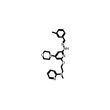 Cc1cccc(C=NNc2cc(N3CCOCC3)cc(OCCN(C)c3ccccn3)n2)c1